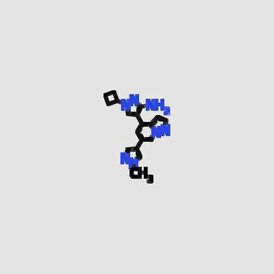 Cn1cc(-c2cc(-c3cn(C4CCC4)nc3N)c3ccnn3c2)cn1